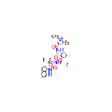 CCC[n+]1cc(Br)cc(C(=O)NCC(OC(=O)NC(C)OC(=O)Nc2cccc3ccccc23)c2ccc(F)cc2)c1.[I-]